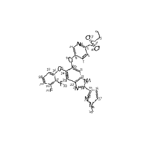 CCS(=O)(=O)c1ccc(Oc2cc3[nH]c(-c4ccn(C)n4)nc3cc2Oc2cccc(F)c2F)cn1